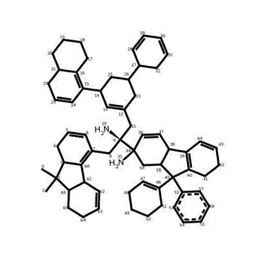 CC1(C)C2CC=CC(C[C@](N)(CC3=CC(C4=C5CCCCC5CC=C4)CC(C4C=CC=CC4)C3)C3(N)C=CC4C5=C(CCC=C5)C(C5=CCCCC5)(c5ccccc5)C4C3)=C2C2C=CCCC21